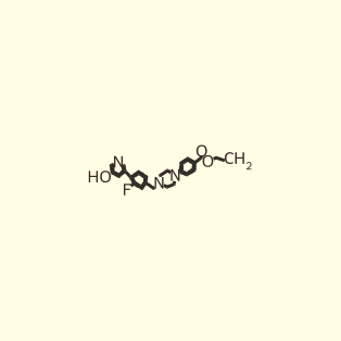 C=CCOC(=O)c1ccc(N2CCN(Cc3ccc(-c4cncc(O)c4)c(F)c3)CC2)cc1